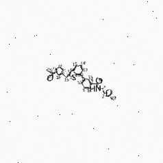 COCCNC(=O)c1cccc(-c2cccc3cc(Cc4cccc(C(C)=O)c4)sc23)c1